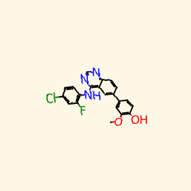 COc1cc(-c2ccc3ncnc(Nc4ccc(Cl)cc4F)c3c2)ccc1O